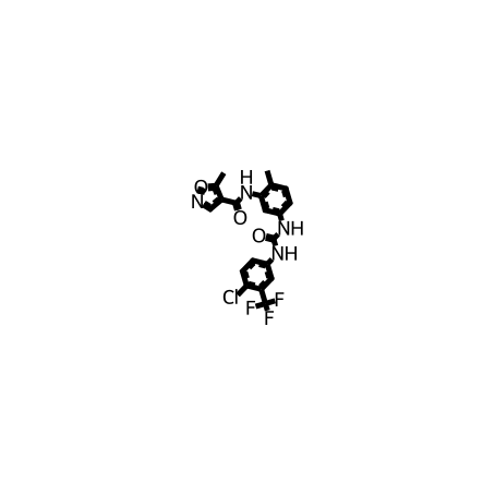 Cc1ccc(NC(=O)Nc2ccc(Cl)c(C(F)(F)F)c2)cc1NC(=O)c1cnoc1C